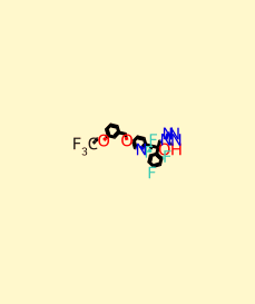 OC(Cn1cnnn1)(c1ccc(F)cc1F)C(F)(F)c1ccc(OCc2cccc(OCC(F)(F)F)c2)cn1